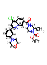 CCCOC(=O)N1CCN(C(=O)c2ccc3c(Cl)cc(-c4cccc(N5CCOCC5)c4)nc3c2)C[C@H]1C